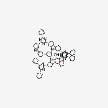 N#Cc1cccc(-c2cc(-n3c4cc(-c5ncnc(-c6ccccc6)n5)ccc4c4ccc(-c5nc(-c6ccccc6)nc(-c6ccccc6)n5)cc43)c(C#N)c(-n3c4cc(-c5nc(-c6ccccc6)nc(-c6ccccc6)n5)ccc4c4ccc(-c5nc(-c6ccccc6)nc(-c6ccccc6)n5)cc43)c2)c1